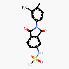 CCS(=O)(=O)Nc1ccc2c(c1)C(=O)N(c1ccc(C)c(C(F)(F)F)c1)C2=O